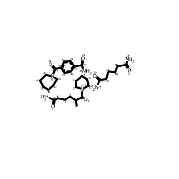 CC(CCCC(N)=O)C(=O)N1CCCCC1.NC(=O)CCCCC(N)=O.NC(=O)c1ccc(C(=O)N2CCCCCC2)cc1